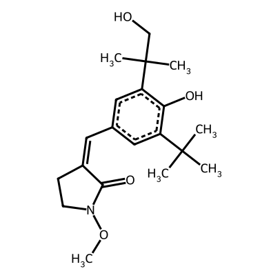 CON1CC/C(=C/c2cc(C(C)(C)C)c(O)c(C(C)(C)CO)c2)C1=O